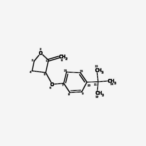 C=C1OCCC1Oc1ccc(C(C)(C)C)cc1